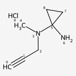 C#CCN(C)C1(N)CC1.Cl